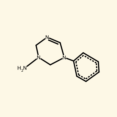 NN1CN=CN(c2ccccc2)C1